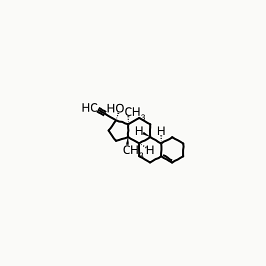 C#C[C@]1(O)CC[C@@]2(C)[C@@H]3CCC4=CCCC[C@@H]4[C@H]3CC[C@@]21C